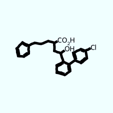 O=C(O)C(CCCc1ccccc1)CC(O)c1ccccc1-c1ccc(Cl)cc1